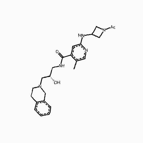 CC(=O)N1CC(Nc2cc(C(=O)NC[C@H](O)CN3CCc4ccccc4C3)c(C)cn2)C1